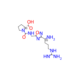 N=C(N)NCCC[C@H](N)c1noc(CNC(=O)N2CCC[C@@H]2C(=O)O)n1